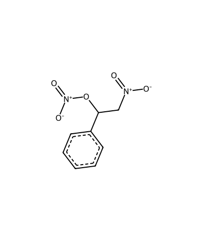 O=[N+]([O-])CC(O[N+](=O)[O-])c1ccccc1